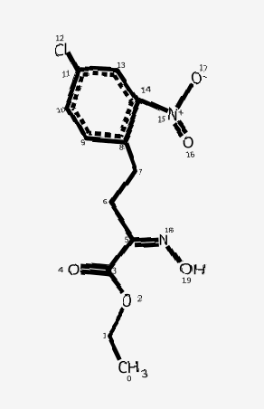 CCOC(=O)C(CCc1ccc(Cl)cc1[N+](=O)[O-])=NO